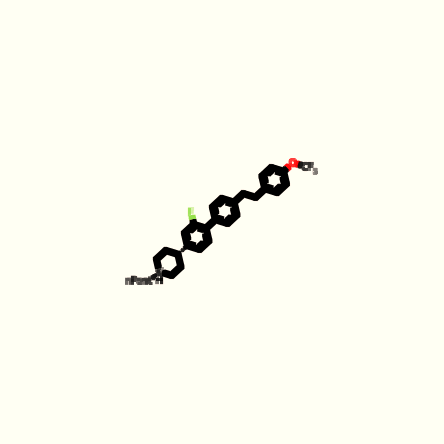 CCCCC[Si@H]1CC[C@H](c2ccc(-c3ccc(CCc4ccc(OC(F)(F)F)cc4)cc3)c(F)c2)CC1